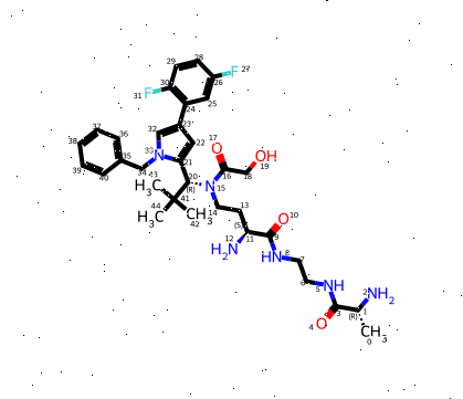 C[C@@H](N)C(=O)NCCNC(=O)[C@@H](N)CCN(C(=O)CO)[C@@H](c1cc(-c2cc(F)ccc2F)cn1Cc1ccccc1)C(C)(C)C